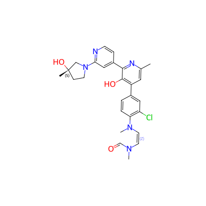 Cc1cc(-c2ccc(N(C)/C=C\N(C)C=O)c(Cl)c2)c(O)c(-c2ccnc(N3CC[C@](C)(O)C3)c2)n1